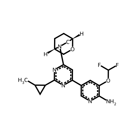 CC1CC1c1nc(-c2cnc(N)c(OC(F)F)c2)cc(N2C[C@@H]3CC[C@H]2CO3)n1